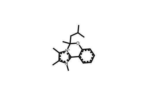 Cc1c(C)[n+]2c(n1C)-c1ccccc1OC2(C)CC(C)C